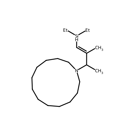 CC[SiH](C=C(C)C(C)N1CCCCCCCCCCCC1)CC